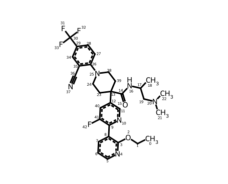 CCOc1ncccc1-c1ncc(C2(C(=O)NC(C)CN(C)C)CCN(c3ccc(C(F)(F)F)cc3C#N)CC2)cc1F